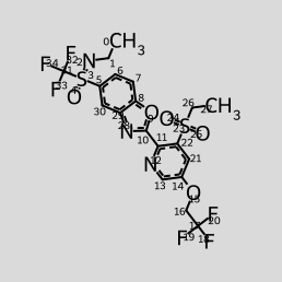 CCN=S(=O)(c1ccc2oc(-c3ncc(OCC(F)(F)F)cc3S(=O)(=O)CC)nc2c1)C(F)(F)F